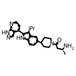 CC(C)c1c(-c2ccnc3[nH]ncc23)[nH]c2ccc(C3CCN(C(=O)C[C@H](C)N)CC3)cc12